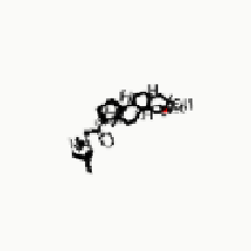 CCOC[C@]12CC[C@@](C)(O)C[C@@H]1CC[C@H]1[C@@H]3CC[C@H](C(=O)Cn4cc(C)cn4)[C@@]3(C)CC[C@@H]12